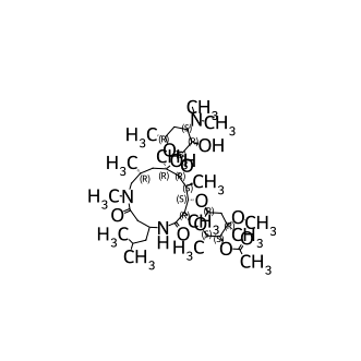 CO[C@]1(C)C[C@H](O[C@H]2[C@H](C)[C@@H](O[C@@H]3O[C@H](C)C[C@H](N(C)C)[C@H]3O)[C@](C)(O)C[C@@H](C)CN(C)C(=O)CC(CC(C)C)NC(=O)[C@@H]2C)O[C@@H](C)[C@@H]1OC(C)=O